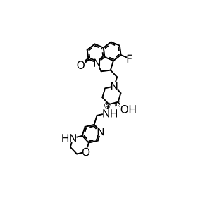 O=c1ccc2ccc(F)c3c2n1CC3CN1CC[C@H](NCc2cc3c(cn2)OCCN3)[C@H](O)C1